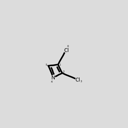 ClC1=C(Cl)N=[C]1